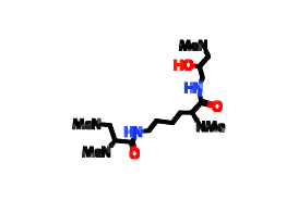 CNCC(O)CNC(=O)[C@H](CCCCNC(=O)[C@H](CNC)NC)NC